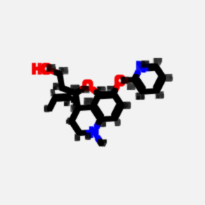 C/C=C\[C@@]12CCN(C)c3ccc(Oc4ccccn4)c(c31)OC2CCO